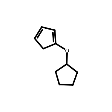 C1=CCC(OC2CCCC2)=C1